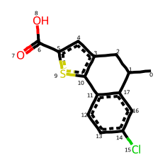 CC1Cc2cc(C(=O)O)sc2-c2ccc(Cl)cc21